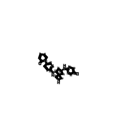 O=c1ccccn1-c1ccc(N[C@@H]2C[C@@H](Nc3ncc(Cl)cn3)CC23CNC3)nc1